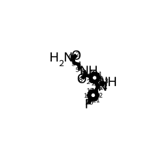 NC(=O)CCCNC(=O)c1ccc2[nH]nc(-c3ccc(F)cc3)c2c1